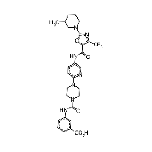 CC1CCCN(c2nc(C(F)(F)F)c(C(=O)Nc3ccc(N4CCN(C(=O)Nc5cccc(C(=O)O)c5)CC4)nc3)o2)C1